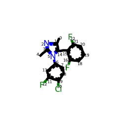 Cc1nc(C)n(-c2ccc(Cl)c(F)c2)c1-c1c(F)cccc1F